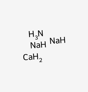 N.[CaH2].[NaH].[NaH]